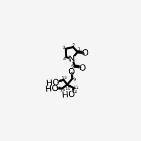 O=C1CCCN1C(=O)OCC(CO)(CO)CO